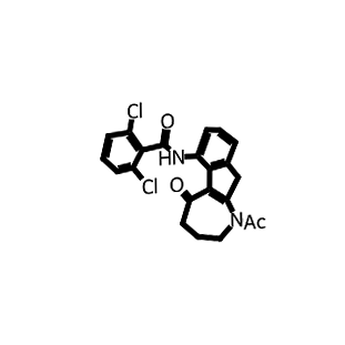 CC(=O)N1CCCC(=O)C2=C1Cc1cccc(NC(=O)c3c(Cl)cccc3Cl)c12